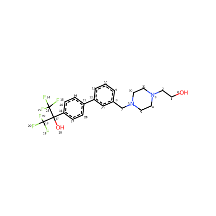 OCCN1CCN(Cc2cccc(-c3ccc(C(O)(C(F)(F)F)C(F)(F)F)cc3)c2)CC1